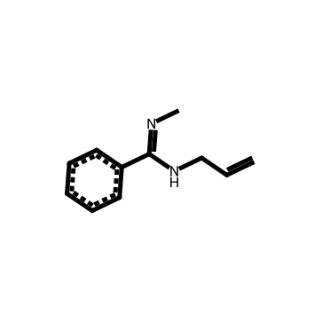 C=CCN/C(=N\C)c1ccccc1